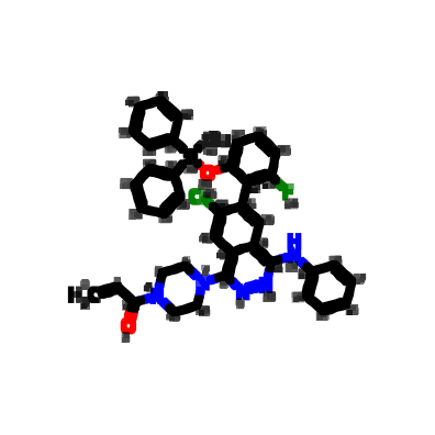 C=CC(=O)N1CCN(c2nnc(Nc3ccccc3)c3cc(-c4c(F)cccc4O[Si](c4ccccc4)(c4ccccc4)C(C)(C)C)c(Cl)cc23)CC1